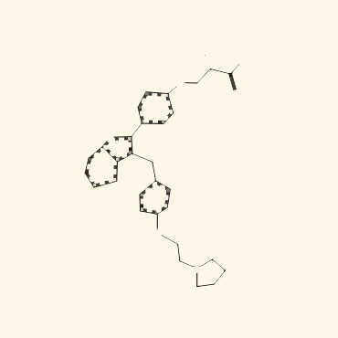 N[C@@H](COc1ccc(-c2sc3ccccc3c2Cc2ccc(OCCN3CCCC3)cc2)cc1)C(=O)O